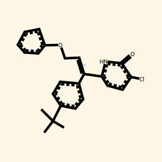 CC(C)(C)c1ccc(/C(=C\COc2ccccc2)c2ccc(Cl)c(=O)[nH]2)cc1